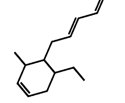 CCC1CC=CC(C)C1C/C=C/C=O